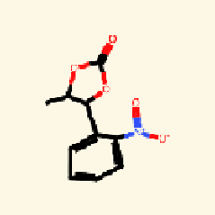 CC1OC(=O)OC1c1ccccc1[N+](=O)[O-]